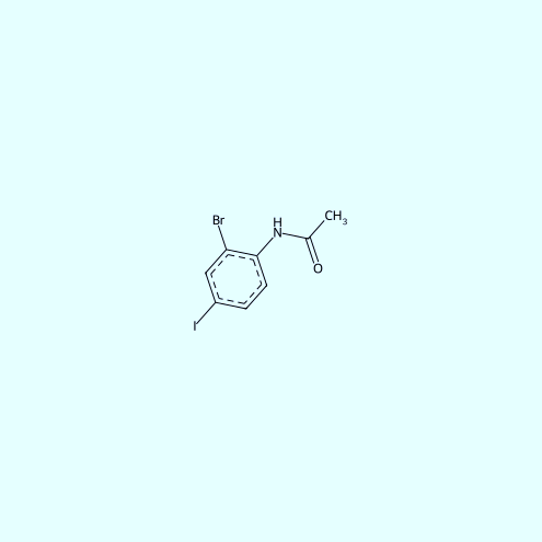 CC(=O)Nc1ccc(I)cc1Br